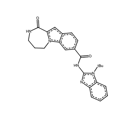 CC(C)(C)n1c(NC(=O)c2ccc3cc4n(c3c2)CCCNC4=O)nc2ccccc21